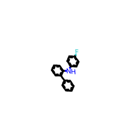 Fc1ccc(Nc2ccccc2-c2ccccc2)cc1